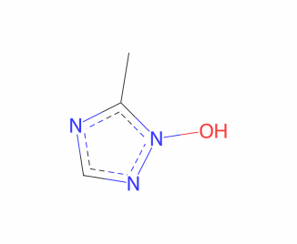 Cc1ncnn1O